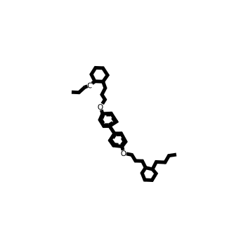 CCCCC1CCCCC1CCCOc1ccc(-c2ccc(OCCCC3CCCCC3CCCC)cc2)cc1